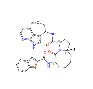 COCC(NC(=O)[C@@H]1CC[C@@H]2CCCC[C@H](NC(=O)c3cc4ccccc4s3)C(=O)N21)c1c[nH]c2ncccc12